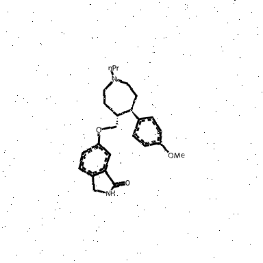 CCCN1CC[C@@H](COc2ccc3c(c2)C(=O)NC3)[C@H](c2ccc(OC)cc2)CC1